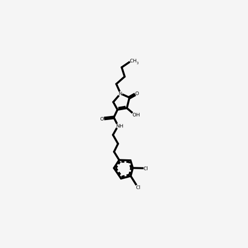 CCCCN1CC(C(=O)NCCCc2ccc(Cl)c(Cl)c2)=C(O)C1=O